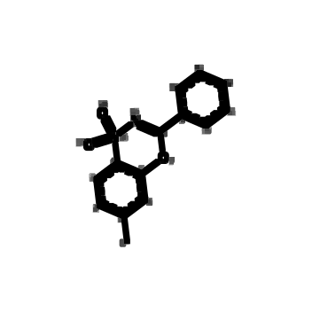 Cc1ccc2c(c1)OC(c1ccccc1)=NS2(=O)=O